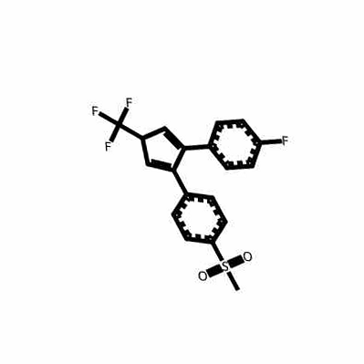 CS(=O)(=O)c1ccc(C2=CC(C(F)(F)F)C=C2c2ccc(F)cc2)cc1